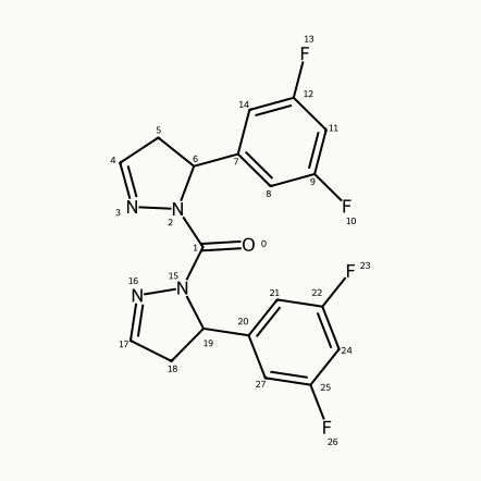 O=C(N1N=CCC1c1cc(F)cc(F)c1)N1N=CCC1c1cc(F)cc(F)c1